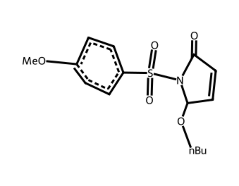 CCCCOC1C=CC(=O)N1S(=O)(=O)c1ccc(OC)cc1